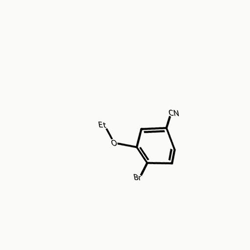 CCOc1cc(C#N)ccc1Br